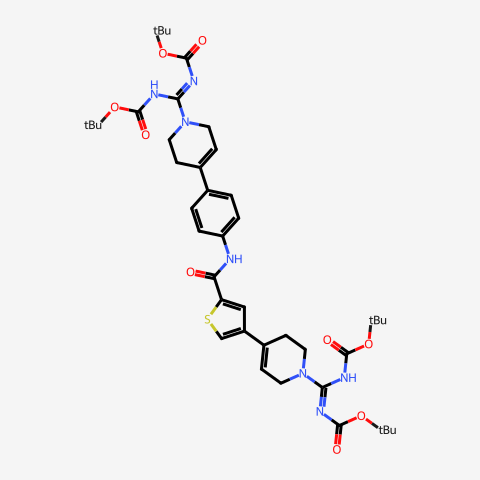 CC(C)(C)OC(=O)N=C(NC(=O)OC(C)(C)C)N1CC=C(c2ccc(NC(=O)c3cc(C4=CCN(C(=NC(=O)OC(C)(C)C)NC(=O)OC(C)(C)C)CC4)cs3)cc2)CC1